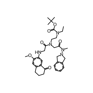 CCN(CCN(CC(=O)N(C)N1Cc2ccccc2C1)C(=O)CNc1cc2c(cc1OC)CCCC2=O)C(=O)OC(C)(C)C